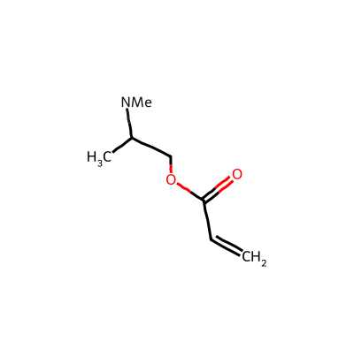 C=CC(=O)OCC(C)NC